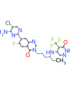 CCC(CCCn1cnc2cc(-c3ncc(Cl)c(N)n3)c(F)cc2c1=O)Nc1cn[nH]c(=O)c1C(F)(F)F